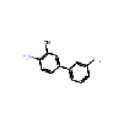 N#Cc1cc(-c2cccc(C(F)(F)F)c2)ccc1N